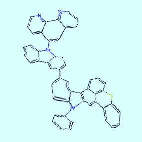 c1ccc(-n2c3ccc(-c4ccc5c(c4)c4ccccc4n5-c4cc5cccnc5c5ncccc45)cc3c3c4cccc5c4c(cc32)-c2ccccc2S5)cc1